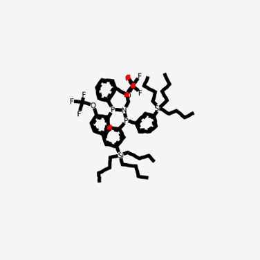 CCCCN(P(c1cccc([Si](CCCC)(CCCC)CCCC)c1)c1cccc([Si](CCCC)(CCCC)CCCC)c1)P(c1ccccc1OC(F)(F)F)c1ccccc1OC(F)(F)F